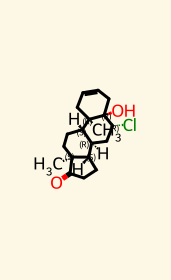 C[C@]12CC[C@H]3[C@@H](C[C@@H](Cl)[C@@]4(O)CC=CC[C@]34C)[C@@H]1CCC2=O